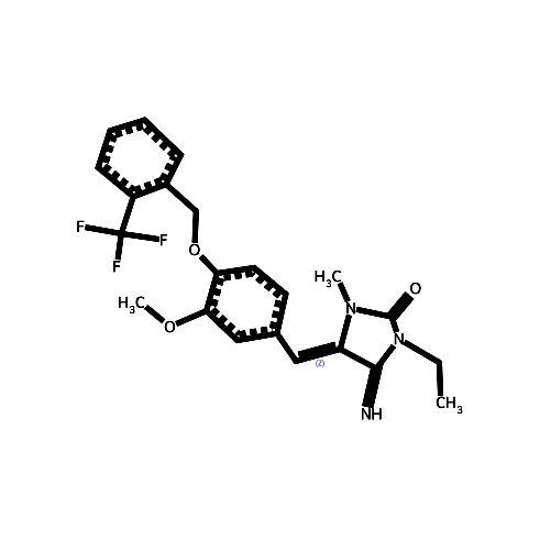 CCN1C(=N)/C(=C/c2ccc(OCc3ccccc3C(F)(F)F)c(OC)c2)N(C)C1=O